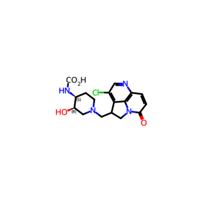 O=C(O)N[C@H]1CCN(CC2Cn3c(=O)ccc4ncc(Cl)c2c43)C[C@H]1O